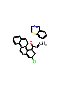 C1=CSc2ccccc2C=N1.C=CC(=O)C1CC(Cl)C=c2ccc3c(c21)CC=c1ccccc1=3